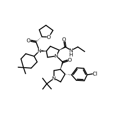 CCNC(=O)[C@@H]1C[C@H](N(C(=O)[C@@H]2CCCO2)C2CCC(C)(C)CC2)CN1C(=O)[C@@H]1CN(C(C)(C)C)C[C@H]1c1ccc(Cl)cc1